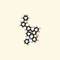 c1ccc(N(c2ccccc2)c2cccc3oc4c5ccccc5c(-c5ccc(-c6cccc7c6sc6ccccc67)cc5)cc4c23)cc1